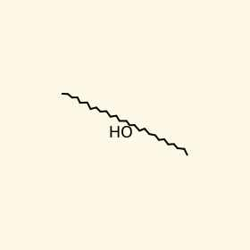 CCCCCCCCCCCCCCC(O)CCCCCCCCCCCC